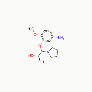 COc1ccc(N)cc1OC([C@@H](C)O)N1CCCC1